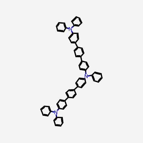 c1ccc(N(c2ccccc2)c2ccc(-c3ccc(-c4ccc(N(c5ccccc5)c5ccc(-c6ccc(-c7ccc(N(c8ccccc8)c8ccccc8)cc7)cc6)cc5)cc4)cc3)cc2)cc1